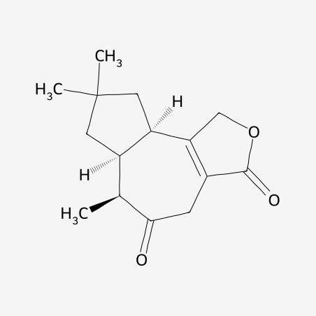 C[C@@H]1C(=O)CC2=C(COC2=O)[C@@H]2CC(C)(C)C[C@H]12